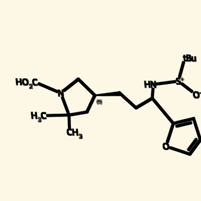 CC1(C)C[C@H](CCC(N[S+]([O-])C(C)(C)C)c2ccco2)CN1C(=O)O